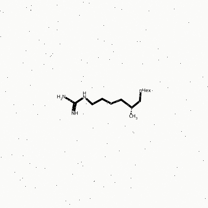 CCCCCCC[C@H](C)CCCCNC(=N)N